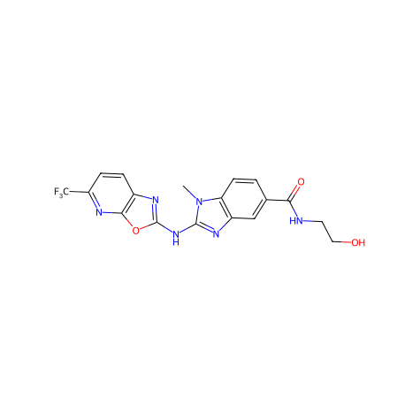 Cn1c(Nc2nc3ccc(C(F)(F)F)nc3o2)nc2cc(C(=O)NCCO)ccc21